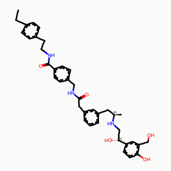 CCc1ccc(CCNC(=O)c2ccc(CNC(=O)Cc3cccc(C[C@@H](C)NC[C@@H](O)c4ccc(O)c(CO)c4)c3)cc2)cc1